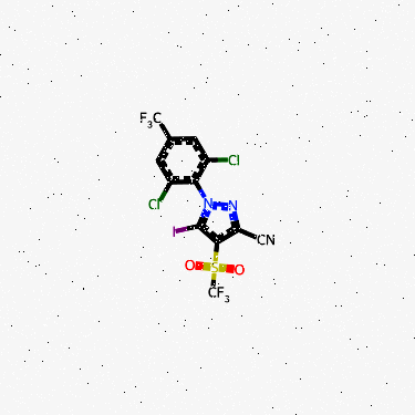 N#Cc1nn(-c2c(Cl)cc(C(F)(F)F)cc2Cl)c(I)c1S(=O)(=O)C(F)(F)F